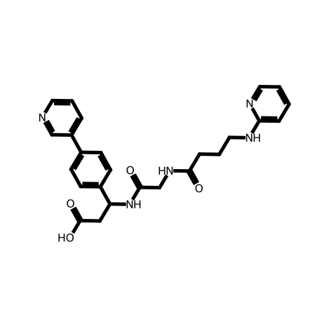 O=C(O)CC(NC(=O)CNC(=O)CCCNc1ccccn1)c1ccc(-c2cccnc2)cc1